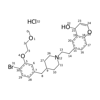 COCCOc1cc(CC2CCN(CCc3ccc4c(c3)C(O)C=CO4)CC2)ccc1Br.Cl